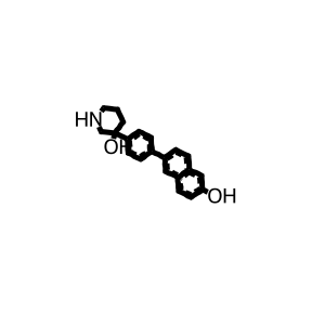 Oc1ccc2cc(-c3ccc(C4(O)CCCNC4)cc3)ccc2c1